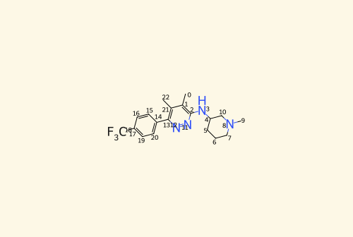 Cc1c(NC2CCCN(C)C2)nnc(-c2ccc(C(F)(F)F)cc2)c1C